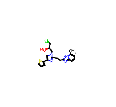 Cc1cccc2nc(CCc3nc(-c4cccs4)cn3CC(O)CCl)nn12